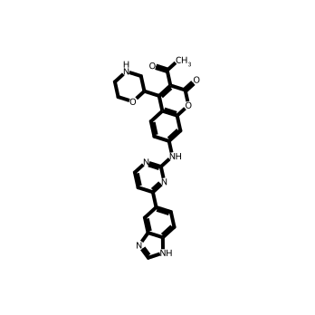 CC(=O)c1c(C2CNCCO2)c2ccc(Nc3nccc(-c4ccc5[nH]cnc5c4)n3)cc2oc1=O